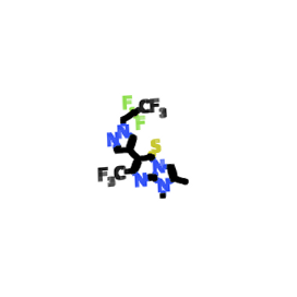 Cc1cn2c(=S)c(-c3cnn(CC(F)(F)C(F)(F)F)c3)c(C(F)(F)F)nc2n1C